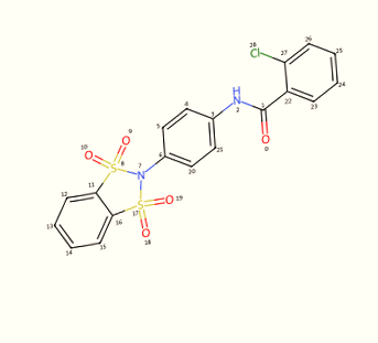 O=C(Nc1ccc(N2S(=O)(=O)c3ccccc3S2(=O)=O)cc1)c1ccccc1Cl